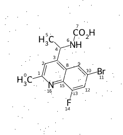 Cc1cc(C(C)NC(=O)O)c2cc(Br)cc(F)c2n1